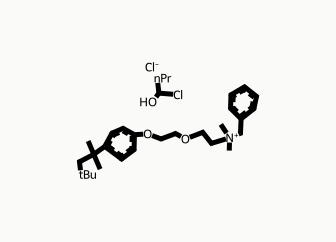 CC(C)(C)CC(C)(C)c1ccc(OCCOCC[N+](C)(C)Cc2ccccc2)cc1.CCCC(O)Cl.[Cl-]